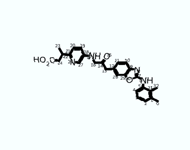 Cc1cccc(Nc2nc3ccc(CC(=O)CNc4ccc(C(C)CC(=O)O)nc4)cc3o2)c1C